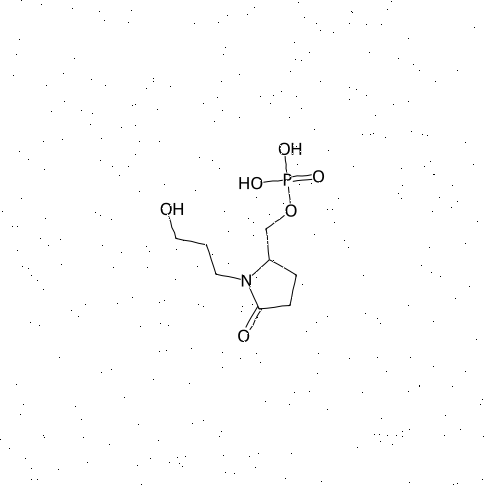 O=C1CCC(COP(=O)(O)O)N1CCCO